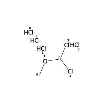 COC(Cl)Cl.Cl.Cl.Cl.Cl